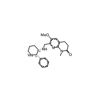 COc1cc2c(nc1CN[C@H]1CCCN[C@H]1c1ccccc1)N(C)C(=O)CC2